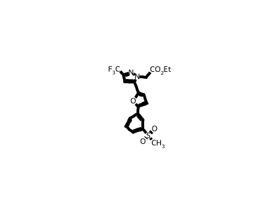 CCOC(=O)Cn1nc(C(F)(F)F)cc1-c1ccc(-c2cccc(S(C)(=O)=O)c2)o1